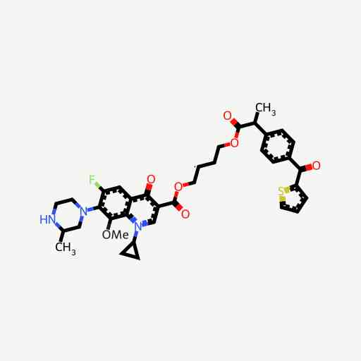 COc1c(N2CCNC(C)C2)c(F)cc2c(=O)c(C(=O)OC[CH]CCOC(=O)C(C)c3ccc(C(=O)c4cccs4)cc3)cn(C3CC3)c12